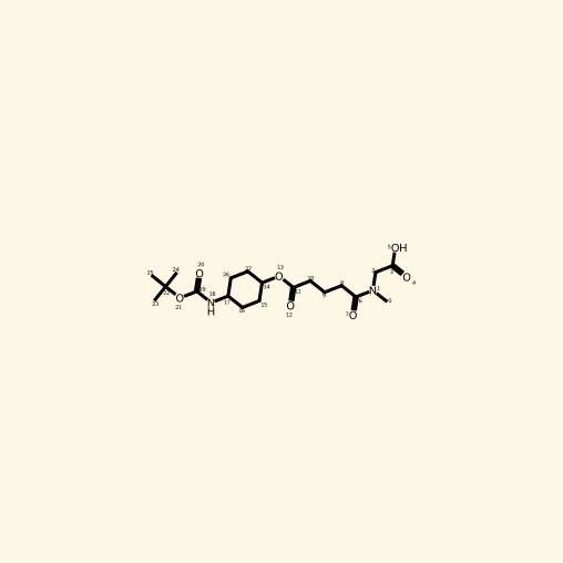 CN(CC(=O)O)C(=O)CCCC(=O)OC1CCC(NC(=O)OC(C)(C)C)CC1